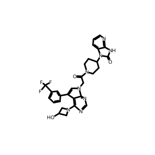 O=C(Cn1cc(-c2cccc(C(F)(F)F)c2)c2c(N3CC(O)C3)ncnc21)N1CCC(n2c(=O)[nH]c3ncccc32)CC1